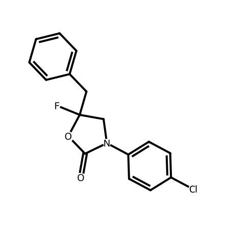 O=C1OC(F)(Cc2ccccc2)CN1c1ccc(Cl)cc1